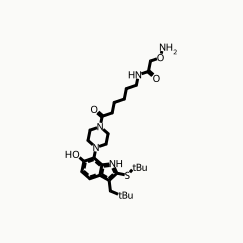 CC(C)(C)Cc1c(SC(C)(C)C)[nH]c2c(N3CCN(C(=O)CCCCCNC(=O)CON)CC3)c(O)ccc12